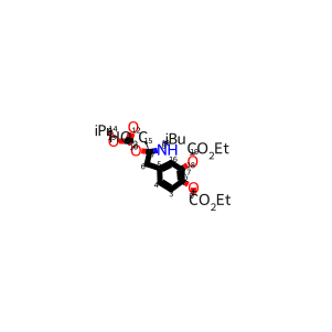 CCOC(=O)Oc1ccc(C[C@](NC(C)CC)(OC(=O)OC(C)C)C(=O)O)cc1OC(=O)OCC